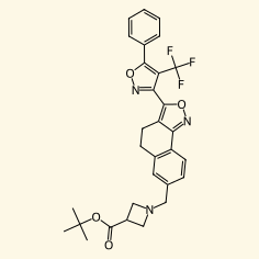 CC(C)(C)OC(=O)C1CN(Cc2ccc3c(c2)CCc2c-3noc2-c2noc(-c3ccccc3)c2C(F)(F)F)C1